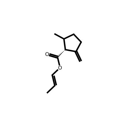 C=C1CCC(C)[C@H]1C(=O)O/C=C/C